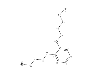 SCCCCOc1ccccc1CCCCS